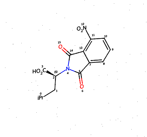 CC(C)C[C@@H](C(=O)O)N1C(=O)c2cccc([N+](=O)[O-])c2C1=O